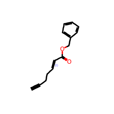 C#CCC/C=C/C(=O)OCc1ccccc1